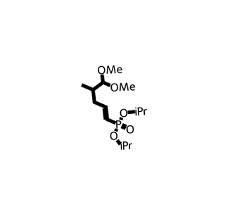 COC(OC)C(C)C/C=C/P(=O)(OC(C)C)OC(C)C